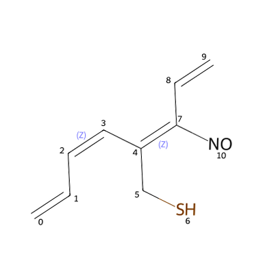 C=C/C=C\C(CS)=C(/C=C)N=O